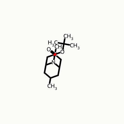 CC1CC2CN(C)CC(C1)N2C(=O)OC(C)(C)C